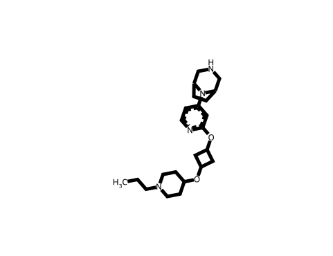 CCCN1CCC(OC2CC(Oc3cc(N4C5CCC4CNC5)ccn3)C2)CC1